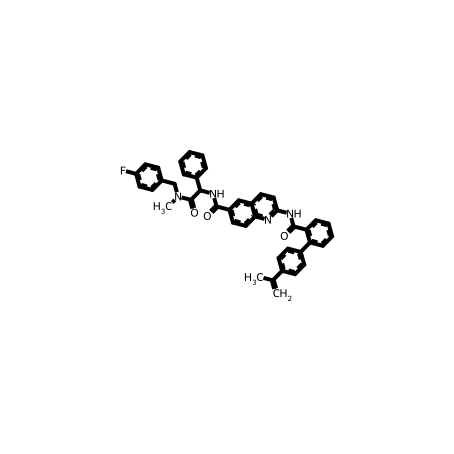 C=C(C)c1ccc(-c2ccccc2C(=O)Nc2ccc3cc(C(=O)NC(C(=O)N(C)Cc4ccc(F)cc4)c4ccccc4)ccc3n2)cc1